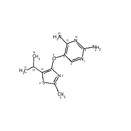 Cc1nc(Oc2cnc(N)nc2N)c(C(C)C)s1